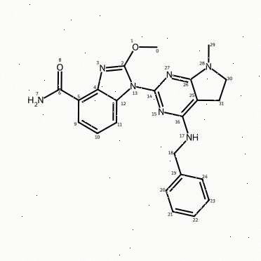 COc1nc2c(C(N)=O)cccc2n1-c1nc(NCc2ccccc2)c2c(n1)N(C)CC2